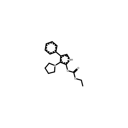 CCOC(=O)Oc1[nH]cc(-c2ccccc2)c1N1CCCC1